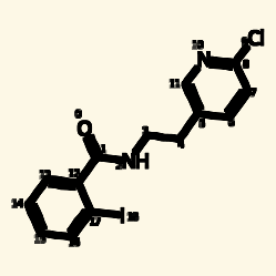 O=C(NCCc1ccc(Cl)nc1)c1ccccc1I